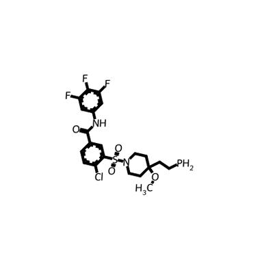 COC1(CCP)CCN(S(=O)(=O)c2cc(C(=O)Nc3cc(F)c(F)c(F)c3)ccc2Cl)CC1